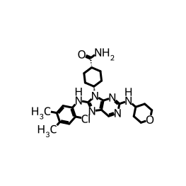 Cc1cc(Cl)c(Nc2nc3cnc(NC4CCOCC4)nc3n2[C@H]2CC[C@@H](C(N)=O)CC2)cc1C